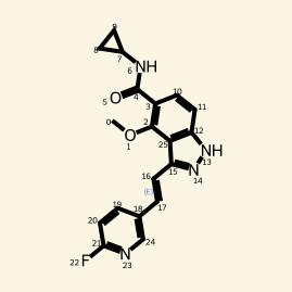 COc1c(C(=O)NC2CC2)ccc2[nH]nc(/C=C/c3ccc(F)nc3)c12